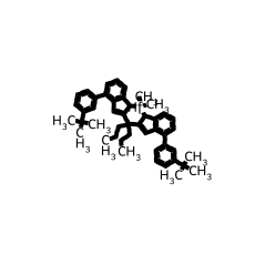 CCCC1(CCC)C2=Cc3c(-c4cccc(C(C)(C)C)c4)cccc3[CH]2[Hf]([CH3])([CH3])[CH]2C1=Cc1c(-c3cccc(C(C)(C)C)c3)cccc12